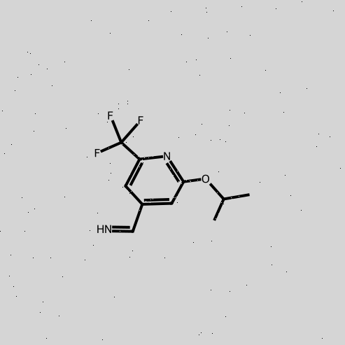 CC(C)Oc1cc(C=N)cc(C(F)(F)F)n1